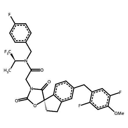 COc1cc(F)c(Cc2ccc3c(c2)CC[C@@]32OC(=O)N(CC(=O)N(Cc3ccc(F)cc3)[C@@H](C)C(F)(F)F)C2=O)cc1F